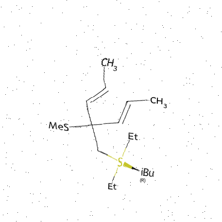 CC=CC(C=CC)(CS(CC)(CC)[C@H](C)CC)SC